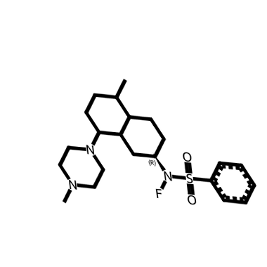 CC1CCC(N2CCN(C)CC2)C2C[C@H](N(F)S(=O)(=O)c3ccccc3)CCC12